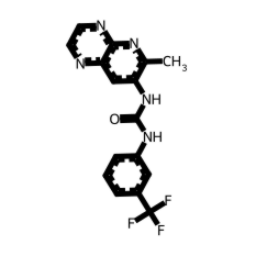 Cc1nc2nccnc2cc1NC(=O)Nc1cccc(C(F)(F)F)c1